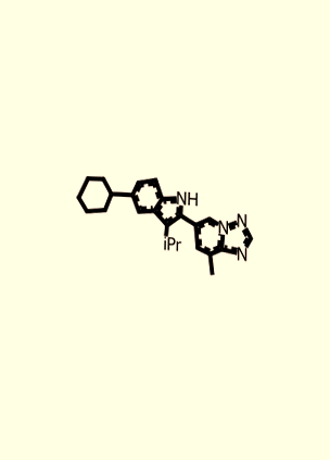 Cc1cc(-c2[nH]c3ccc(C4CCCCC4)cc3c2C(C)C)cn2ncnc12